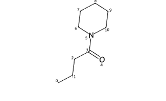 C[CH]CC(=O)N1CCCCC1